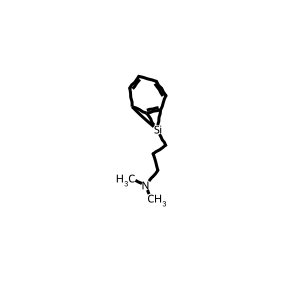 CN(C)CCC[Si]12C3=C1C2C=CC=C3